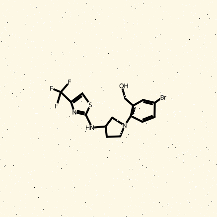 OCc1cc(Br)ccc1N1CCC(Nc2nc(C(F)(F)F)cs2)C1